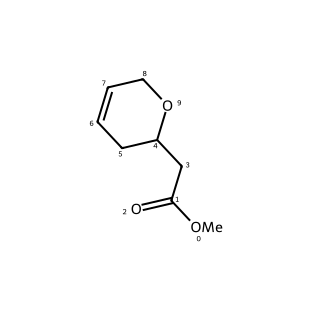 COC(=O)CC1CC=CCO1